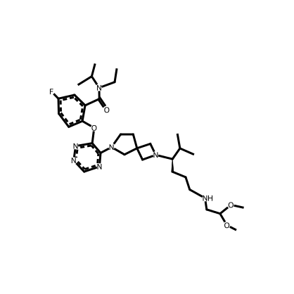 CCN(C(=O)c1cc(F)ccc1Oc1nncnc1N1CCC2(C1)CN([C@H](CCCNCC(OC)OC)C(C)C)C2)C(C)C